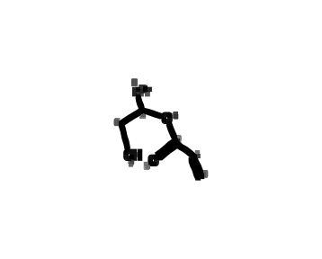 C=CC(=O)OC(CO)CCC